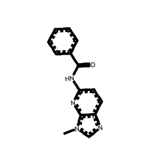 Cn1[c]nc2ccc(NC(=O)c3ccccc3)nc21